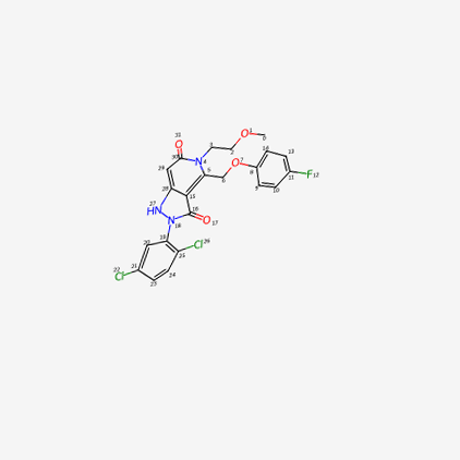 COCCn1c(COc2ccc(F)cc2)c2c(=O)n(-c3cc(Cl)ccc3Cl)[nH]c2cc1=O